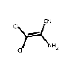 N#CC(N)=C(Cl)Cl